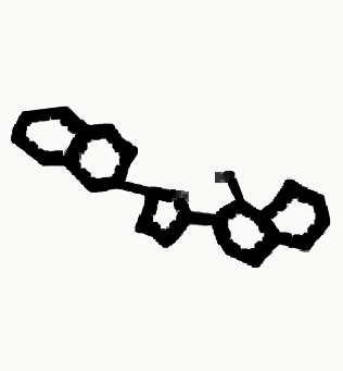 Oc1c(-c2ccc(-c3ccc4ccccc4c3)[nH]2)ccc2ccccc12